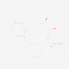 NC(=O)[C@@H](O)[C@H](ON1CCNCC1c1ccc(Cl)cc1Cl)[C@H](O)[C@@H](O)C=O